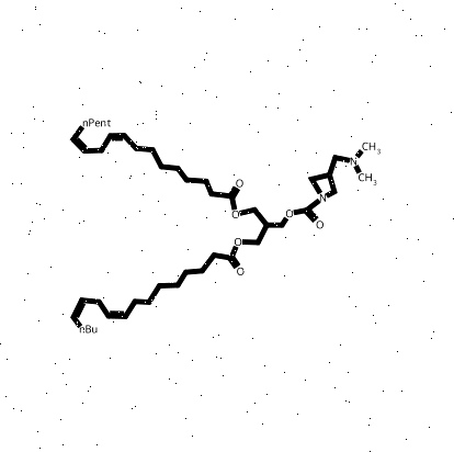 CCCC/C=C\C/C=C\CCCCCCCC(=O)OCC(COC(=O)CCCCCCC/C=C\C/C=C\CCCCC)COC(=O)N1CC(CN(C)C)C1